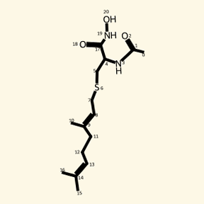 CC(=O)NC(CSC/C=C(\C)CCC=C(C)C)C(=O)NO